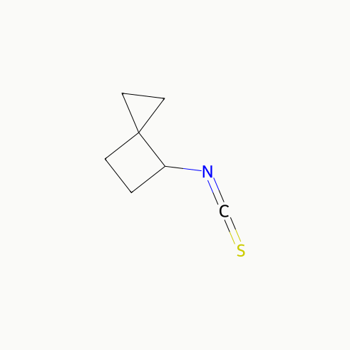 S=C=NC1CCC12CC2